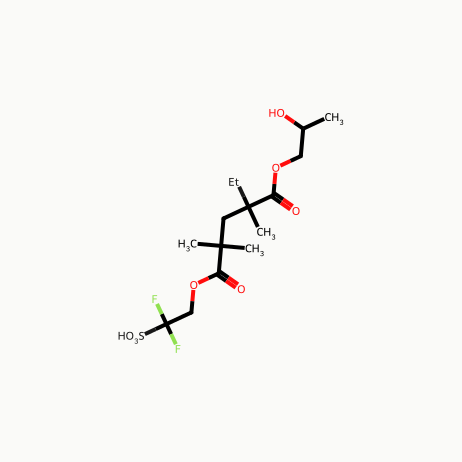 CCC(C)(CC(C)(C)C(=O)OCC(F)(F)S(=O)(=O)O)C(=O)OCC(C)O